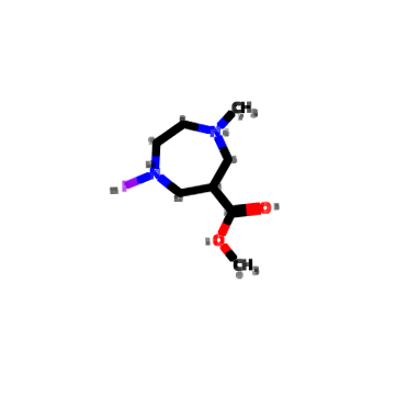 COC(=O)C1CN(C)CCN(I)C1